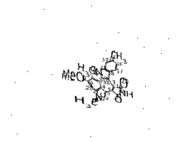 COc1ccc2c(C3=C(c4cn(C)c5cc(C)ccc45)C(=O)NC3=O)cn(C)c2c1